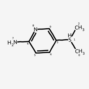 C[SH](C)c1ccc(N)nc1